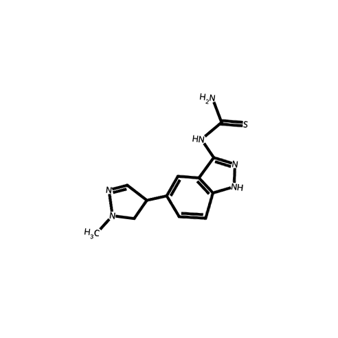 CN1CC(c2ccc3[nH]nc(NC(N)=S)c3c2)C=N1